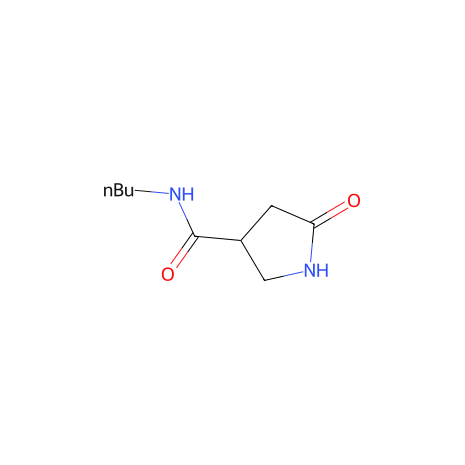 [CH2]CCCNC(=O)C1CNC(=O)C1